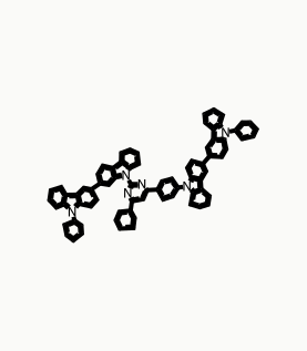 c1ccc(-c2cc(-c3ccc(-n4c5ccccc5c5cc(-c6ccc7c(c6)c6ccccc6n7-c6ccccc6)ccc54)cc3)nc(-n3c4ccccc4c4ccc(-c5ccc6c(c5)c5ccccc5n6-c5ccccc5)cc43)n2)cc1